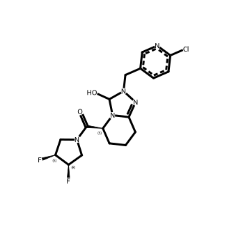 O=C([C@@H]1CCCC2=NN(Cc3ccc(Cl)nc3)C(O)N21)N1C[C@@H](F)[C@@H](F)C1